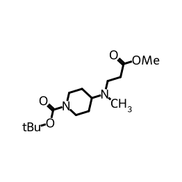 COC(=O)CCN(C)C1CCN(C(=O)OC(C)(C)C)CC1